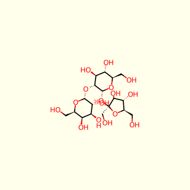 OC[C@H]1O[C@H](O[C@H]2[C@@H](O[C@]3(CO)O[C@H](CO)[C@@H](O)[C@@H]3O)O[C@H](CO)[C@@H](O)[C@@H]2O)[C@H]([16OH])[C@@H](O)[C@H]1O